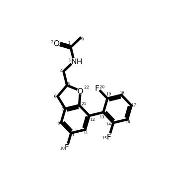 CC(=O)NCC1Cc2cc(F)cc(-c3c(F)cccc3F)c2O1